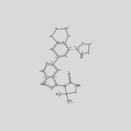 CC1(C)CNC(=O)N1c1c[nH]c2ncc(-c3cc4c(c([C@@H]5CCCN5)c3)COCC4)cc12